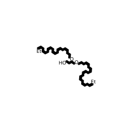 CC/C=C\C/C=C\C/C=C\C/C=C\C/C=C\C/C=C\CCCOCC(CCO)OCCC/C=C\C/C=C\C/C=C\C/C=C\C/C=C\C/C=C\CC